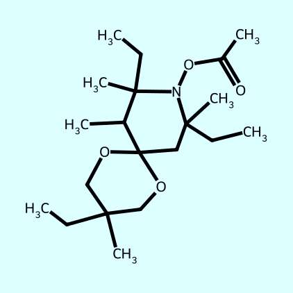 CCC1(C)COC2(CC(C)(CC)N(OC(C)=O)C(C)(CC)C2C)OC1